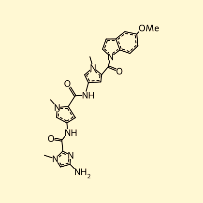 COc1ccc2c(ccn2C(=O)c2cc(NC(=O)c3cc(NC(=O)c4nc(N)cn4C)cn3C)cn2C)c1